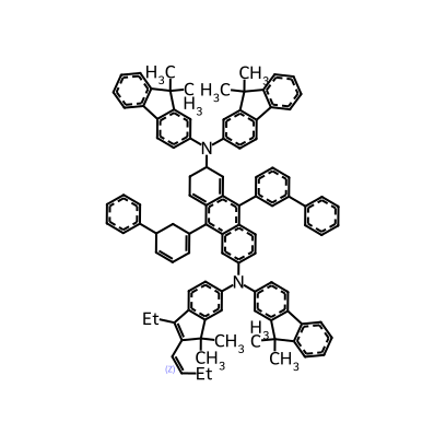 CC/C=C\C1=C(CC)c2ccc(N(c3ccc4c(c3)C(C)(C)c3ccccc3-4)c3ccc4c(-c5cccc(-c6ccccc6)c5)c5c(c(C6=CC=CC(c7ccccc7)C6)c4c3)=CCC(N(c3ccc4c(c3)C(C)(C)c3ccccc3-4)c3ccc4c(c3)C(C)(C)c3ccccc3-4)C=5)cc2C1(C)C